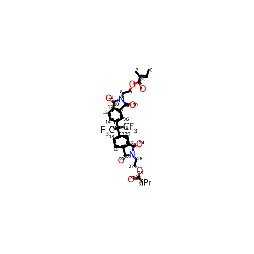 C/C=C(\C)C(=O)OCCN1C(=O)c2ccc(C(c3ccc4c(c3)C(=O)N(CCOC(=O)C(C)C)C4=O)(C(F)(F)F)C(F)(F)F)cc2C1=O